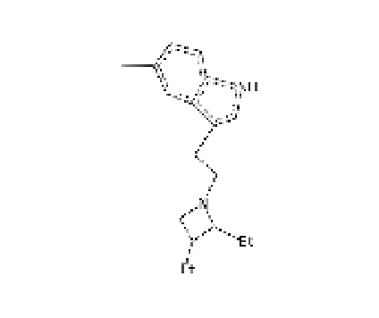 CCC1CN(CCc2c[nH]c3ccc(C)cc23)C1CC